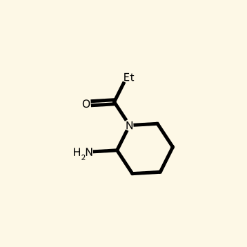 CCC(=O)N1CCCCC1N